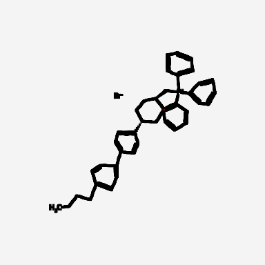 CCCCc1ccc(-c2ccc([C@H]3CC[C@H](C[P+](c4ccccc4)(c4ccccc4)c4ccccc4)CC3)cc2)cc1.[Br-]